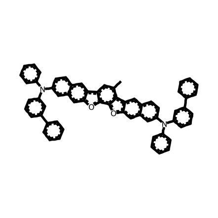 Cc1cc2c3cc4ccc(N(c5ccccc5)c5cccc(-c6ccccc6)c5)cc4cc3oc2c2oc3cc4cc(N(c5ccccc5)c5cccc(-c6ccccc6)c5)ccc4cc3c12